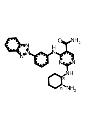 NC(=O)c1cnc(N[C@@H]2CCCC[C@@H]2N)nc1Nc1cccc(-n2nc3ccccc3n2)c1